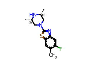 C[C@@H]1CN(c2nc3cc(F)c(C(F)(F)F)cc3s2)C[C@H](C)N1